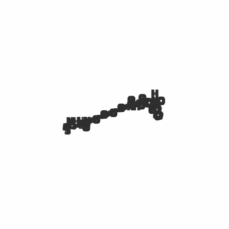 N[C@H]1CCS[C@H]1CCCCC(=O)NCCOCCOCCOCCOCCNC(=O)CCS(=O)(=O)N1CCC2(CC1)NC(=O)N(Cc1ccccc1)C2=O